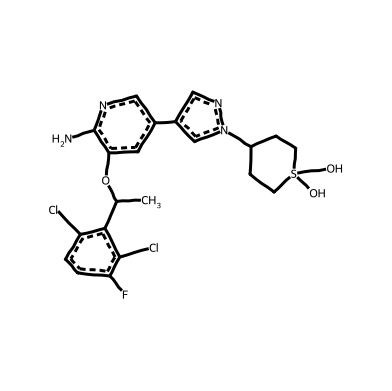 CC(Oc1cc(-c2cnn(C3CCS(O)(O)CC3)c2)cnc1N)c1c(Cl)ccc(F)c1Cl